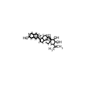 CN(C)[C@H]1C[C@@]23CC[C@]4(O2)C2CC=C(c5ccc6cnc(O)cc6c5)[C@@]2(C)CCC4(Cl)C=C3[C@@H](O)[C@@H]1O